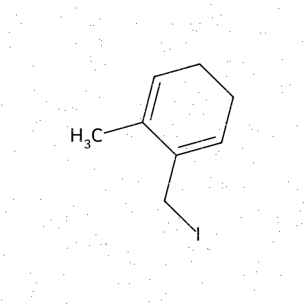 CC1=CCCC=C1CI